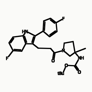 CC1(NC(=O)OC(C)(C)C)CCN(C(=O)CCc2c(-c3ccc(F)cc3)[nH]c3ccc(F)cc23)C1